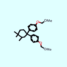 COCOc1ccc(C2(c3ccc(OCOC)cc3)CCC(C)(C)C(C)C2)cc1